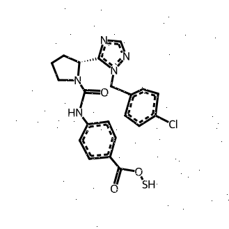 O=C(OS)c1ccc(NC(=O)N2CCC[C@@H]2c2ncnn2Cc2ccc(Cl)cc2)cc1